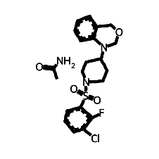 CC(N)=O.O=S(=O)(c1cccc(Cl)c1F)N1CCC(N2COCc3ccccc32)CC1